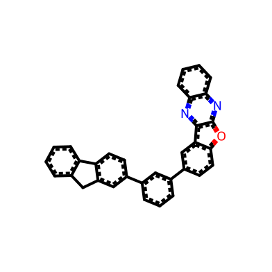 c1cc(-c2ccc3c(c2)Cc2ccccc2-3)cc(-c2ccc3oc4nc5ccccc5nc4c3c2)c1